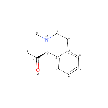 CC(=O)[C@@H]1c2ccccc2CCN1C